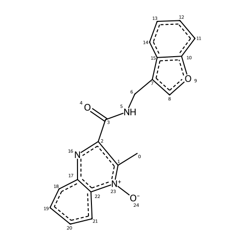 Cc1c(C(=O)NCc2coc3ccccc23)nc2ccccc2[n+]1[O-]